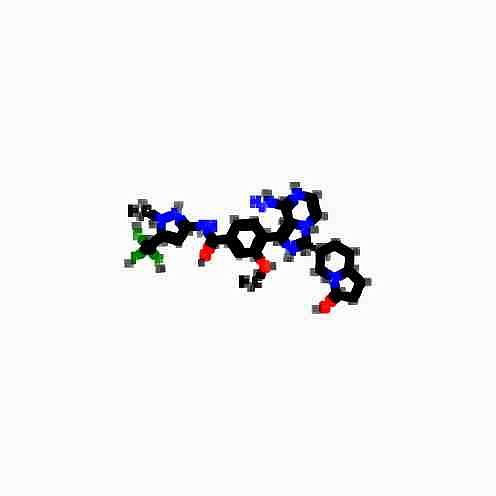 COc1cc(C(=O)Nc2cc(C(F)(F)F)n(C)n2)ccc1-c1nc([C@@H]2CCC3CCC(=O)N3C2)n2ccnc(N)c12